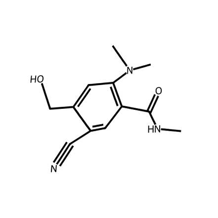 CNC(=O)c1cc(C#N)c(CO)cc1N(C)C